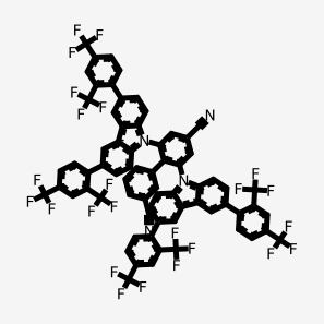 N#Cc1cccc(-c2c(-n3c4ccc(-c5ccc(C(F)(F)F)cc5C(F)(F)F)cc4c4cc(-c5ccc(C(F)(F)F)cc5C(F)(F)F)ccc43)cc(C#N)cc2-n2c3ccc(-c4ccc(C(F)(F)F)cc4C(F)(F)F)cc3c3cc(-c4ccc(C(F)(F)F)cc4C(F)(F)F)ccc32)c1